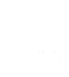 CCC(C)(C)C(=O)O[C@@H](C)CC(N)(Cc1ccc(OC(=O)OCC(C)C)c(OC(=O)OCC(C)C)c1)C(=O)O